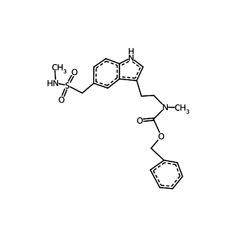 CNS(=O)(=O)Cc1ccc2[nH]cc(CCN(C)C(=O)OCc3ccccc3)c2c1